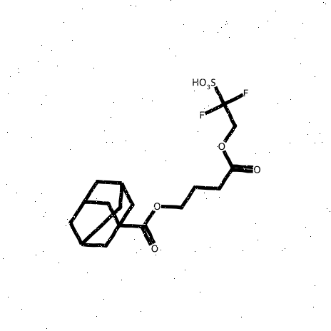 O=C(CCCOC(=O)C12CC3CC(CC(C3)C1)C2)OCC(F)(F)S(=O)(=O)O